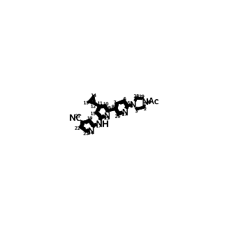 CC(=O)N1CCN(c2ccc(-c3cc(C4CC4)cc(Nc4cc(C#N)ccn4)n3)cn2)CC1